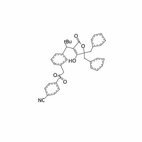 CC(C)(C)C(C1=C(O)C(Cc2ccccc2)(Cc2ccccc2)OC1=O)c1cccc(CS(=O)(=O)c2ccc(C#N)cc2)c1